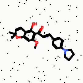 COc1cc2c(c(O)c1C(=O)/C=C/c1ccc(N3CCCC3)cc1)C=CC(C)(C)O2